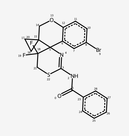 O=C(NC1=NC2(c3cc(Br)ccc3OCC23CC3)C(F)(F)CS1)c1ccccc1